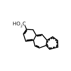 O=C(O)C1=CC=C2C=Cc3ccccc3C=C2C1